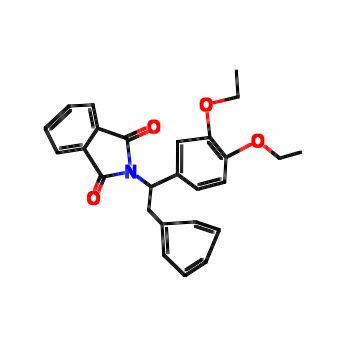 CCOc1ccc(C(Cc2ccccc2)N2C(=O)c3ccccc3C2=O)cc1OCC